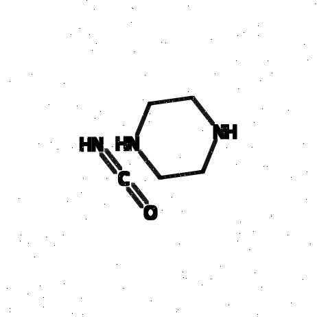 C1CNCCN1.N=C=O